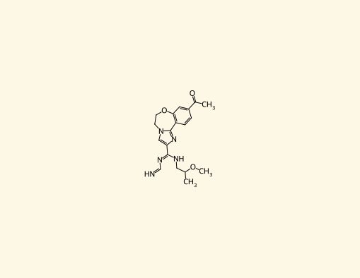 COC(C)CN/C(=N\C=N)c1cn2c(n1)-c1ccc(C(C)=O)cc1OCC2